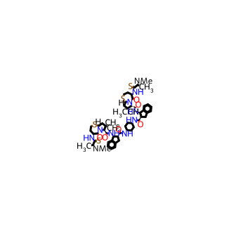 CN[C@@H](C)C(=S)N[C@H]1CCS[C@H]2CC(C)(C)[C@@H](C(=O)N[C@H]3c4ccccc4C[C@H]3C(=O)NC3CCC(NC(=O)[C@@H]4Cc5ccccc5[C@@H]4NC(=O)[C@H]4N5C(=O)[C@@H](NC(=S)[C@H](C)NC)CCS[C@H]5CC4(C)C)CC3)N2C1=O